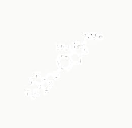 CNC1=NC2(O)c3ccc(OCC(F)(F)C(F)(F)C(F)(F)F)cc3CC2S1